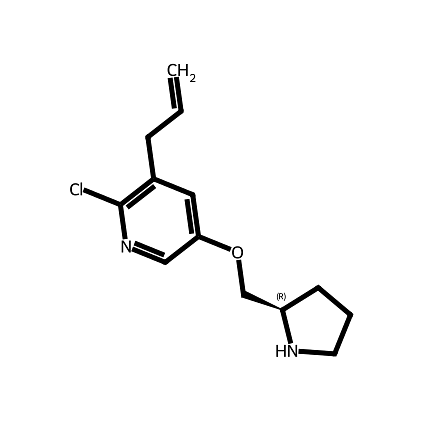 C=CCc1cc(OC[C@H]2CCCN2)cnc1Cl